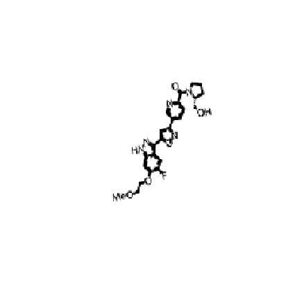 COCCOc1cc2[nH]nc(-c3cc(-c4ccc(C(=O)N5CCC[C@@H]5CO)nc4)no3)c2cc1F